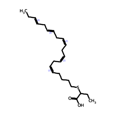 CC/C=C/C/C=C/C/C=C\C/C=C\C/C=C\CCCCSC(CC)C(=O)O